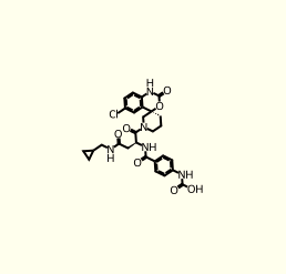 O=C(O)Nc1ccc(C(=O)N[C@@H](CC(=O)NCC2CC2)C(=O)N2CCC[C@@]3(C2)OC(=O)Nc2ccc(Cl)cc23)cc1